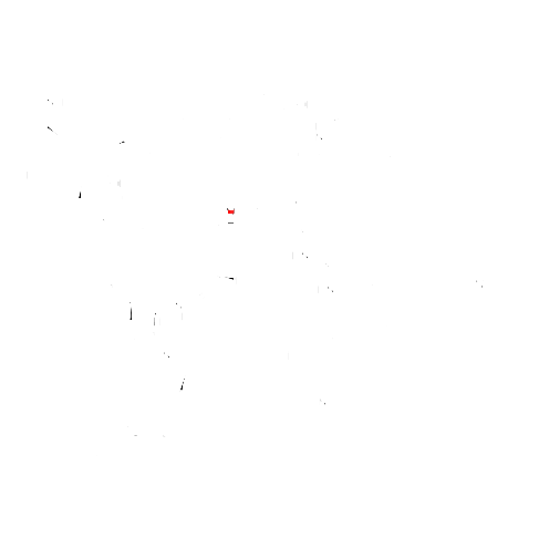 CCNCCOc1ccc(OCCNCC)c(NC(=O)NC(=O)C[C@@H]2CC(=O)[C@H](NC(=O)[C@H](CC)CC(C)C)[C@H](O)c3ccc(c(Cl)c3)Oc3cc4cc(c3O[C@@H]3O[C@H](CN)[C@@H](O)[C@H](O)[C@H]3O)Oc3ccc(cc3Cl)[C@@H](O)[C@@H]3NC(=O)[C@H](CC(=O)[C@@H]4NC2=O)c2ccc(O)c(c2)-c2c(O)cc(O)cc2[C@@H](C(=O)CC2C4CC5CC(C4)CC2C5)NC3=O)c1